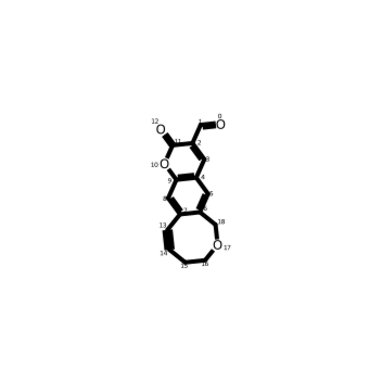 O=Cc1cc2cc3c(cc2oc1=O)C#CCCOC3